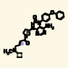 CN(C/C=C/C(=O)N1CC[C@@H](Nc2ncnc(N)c2N(N=O)c2ccc(Oc3ccccc3)cc2)C1)C1CCC1